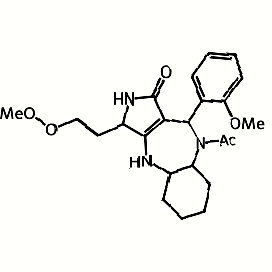 COOCCC1NC(=O)C2=C1NC1CCCCC1N(C(C)=O)C2c1ccccc1OC